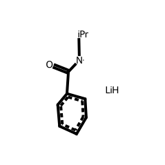 CC(C)[N]C(=O)c1ccccc1.[LiH]